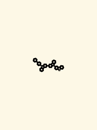 c1ccc(-c2ccc(-n3c4ccccc4c4cc(-c5ccc6c(c5)c5ccccc5n6-c5ccc6oc7ccccc7c6c5)ccc43)cc2)cc1